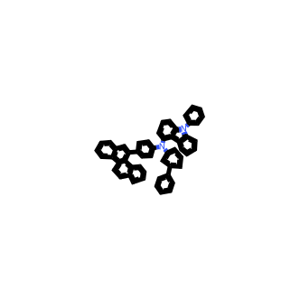 c1ccc(-c2cccc(N(c3ccc(-c4cc5ccccc5c5ccc6ccccc6c45)cc3)c3cccc4c3c3ccccc3n4-c3ccccc3)c2)cc1